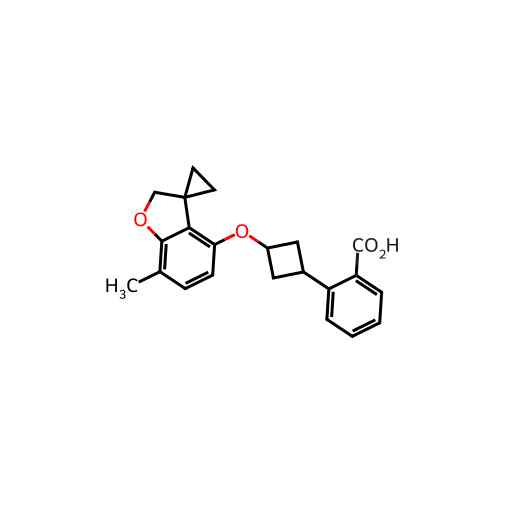 Cc1ccc(OC2CC(c3ccccc3C(=O)O)C2)c2c1OCC21CC1